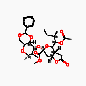 CC[C@@H](C)[C@@H](OC(C)=O)C1O[C@](O[C@@H]2C(C)[C@H](C)OC3COC(c4ccccc4)O[C@@H]32)(C(=O)OC)C[C@H]2OC(=O)C[C@@H]12